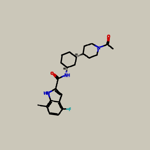 CC(=O)N1CCC([C@H]2CCC[C@@H](NC(=O)c3cc4c(F)ccc(C)c4[nH]3)C2)CC1